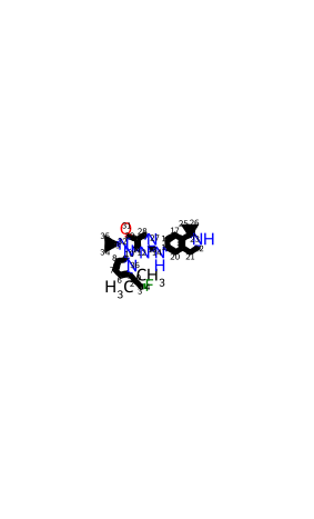 CC(C)(CF)c1cccc(-n2c3nc(Nc4ccc5c(c4)CCNC54CC4)ncc3c(=O)n2C2CC2)n1